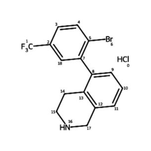 Cl.FC(F)(F)c1ccc(Br)c(-c2cccc3c2CCNC3)c1